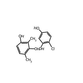 Cc1ccc(O)c(C)c1O.Oc1ccc(Cl)c(O)c1